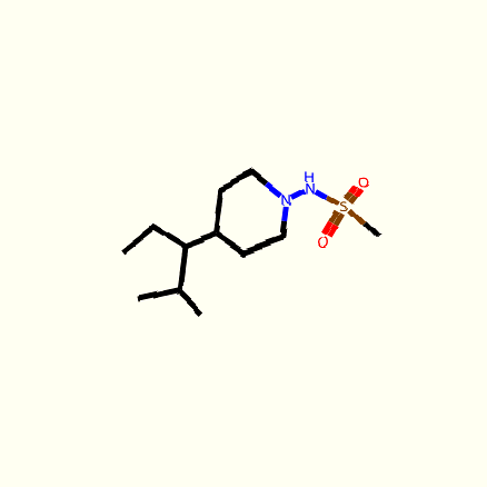 CCC(C(C)C)C1CCN(NS(C)(=O)=O)CC1